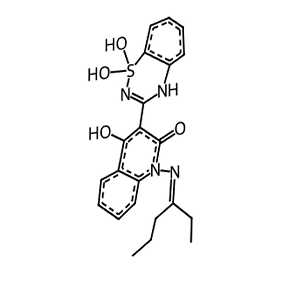 CCCC(CC)=Nn1c(=O)c(C2=NS(O)(O)c3ccccc3N2)c(O)c2ccccc21